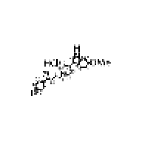 COc1ccc2c(C3CCN(CCCC(=O)c4ccc(F)cc4)CC3)c[nH]c2c1.Cl